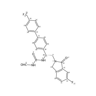 O=CNC(=O)N[C@@H](CN1Cc2ccc(F)cc2C1=O)c1ccc(-c2ccc(C(F)(F)F)cc2)cc1